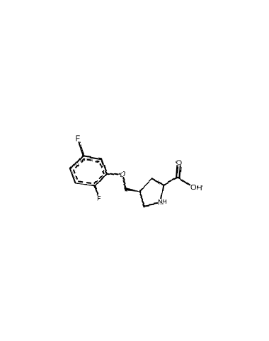 O=C(O)C1C[C@H](COc2cc(F)ccc2F)CN1